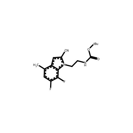 Cc1cc(F)c(F)c2c1cc(C#N)n2CCNC(=O)OC(C)(C)C